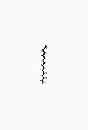 C#CCCCCCCCCCCCCC[O]